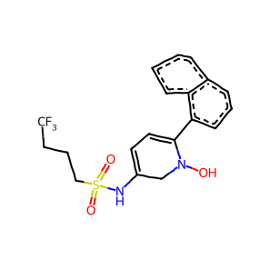 O=S(=O)(CCCC(F)(F)F)NC1=CC=C(c2cccc3ccccc23)N(O)C1